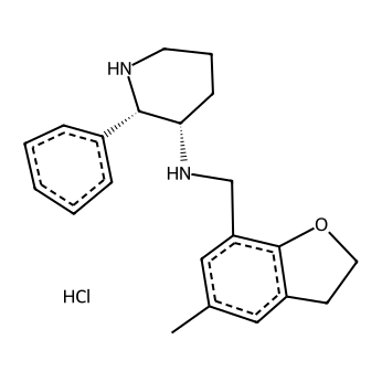 Cc1cc2c(c(CN[C@H]3CCCN[C@H]3c3ccccc3)c1)OCC2.Cl